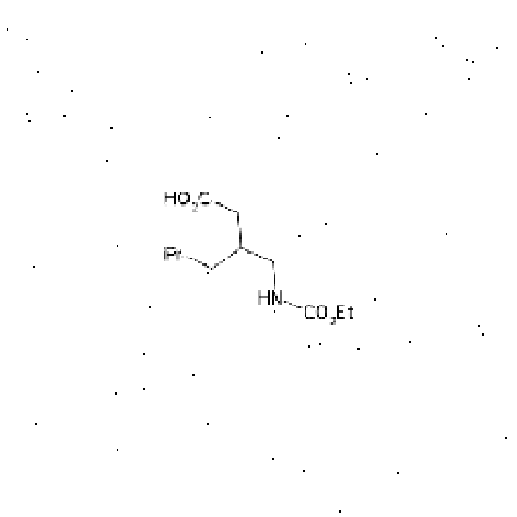 CCOC(=O)NCC(CC(=O)O)CC(C)C